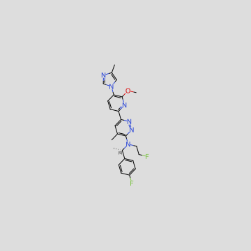 COc1nc(-c2cc(C)c(N(CCF)[C@@H](C)c3ccc(F)cc3)nn2)ccc1-n1cnc(C)c1